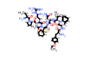 CCOc1ccc(C[C@H](N)C(=O)N[C@@H](Cc2ccccc2)C(=O)N[C@H](C(=O)N[C@@H](CC(N)=O)C(=O)NC(=O)[C@@H](N(C(C)=O)C(=O)[C@H](CCCNC(=N)N)NC(=O)[C@@H]2CCCN2C(=O)C(N)CC)C2(S)CCCCC2)C(C)C)cc1